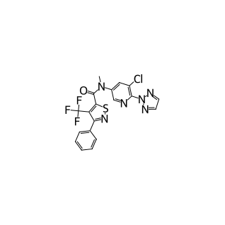 CN(C(=O)c1snc(-c2ccccc2)c1C(F)(F)F)c1cnc(-n2nccn2)c(Cl)c1